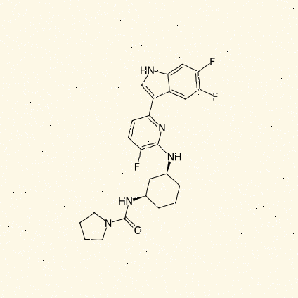 O=C(N[C@@H]1CCC[C@H](Nc2nc(-c3c[nH]c4cc(F)c(F)cc34)ccc2F)C1)N1CCCC1